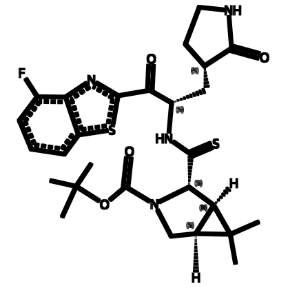 CC(C)(C)OC(=O)N1C[C@H]2[C@@H]([C@H]1C(=S)N[C@@H](C[C@@H]1CCNC1=O)C(=O)c1nc3c(F)cccc3s1)C2(C)C